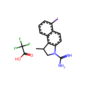 CC1CN(C(=N)N)c2ccc3c(I)cccc3c21.O=C(O)C(F)(F)F